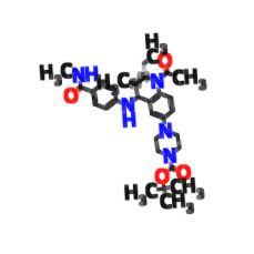 CC[C@H]1[C@H](C)C(Nc2ccc(C(=O)NC)cc2)c2cc(N3CCN(C(=O)OC(C)(C)C)CC3)ccc2N1C(C)=O